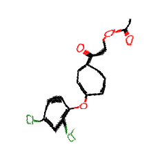 CC(=O)OCC(=O)c1ccc(Oc2ccc(Cl)cc2Cl)cc1